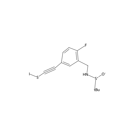 CC(C)(C)[S+]([O-])NCc1cc(C#CSI)ccc1F